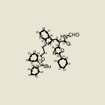 CC(C)(C)[Si](OCCCn1cc(/C=C(/C(=O)NC=O)c2cnc(-c3ccccc3)o2)c2cccnc21)(c1ccccc1)c1ccccc1